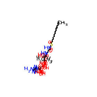 CCCCC=CCCCCCCCCCC(=O)SCCNC(=O)CCNC(=O)[C@H](O)C(C)(C)COP(=O)(O)OP(=O)(O)OC[C@H]1O[C@@H](n2cnc3c(N)ncnc32)[C@H](O)[C@@H]1OP(=O)(O)O